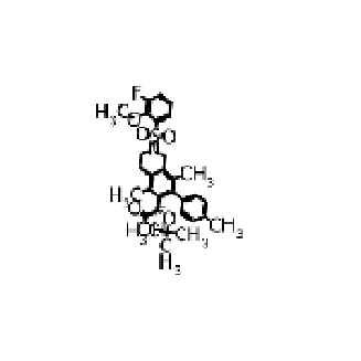 COc1c(F)cccc1S(=O)(=O)N1CCc2c(C)c([C@H](OC(C)(C)C)C(=O)O)c(-c3ccc(C)cc3)c(C)c2C1